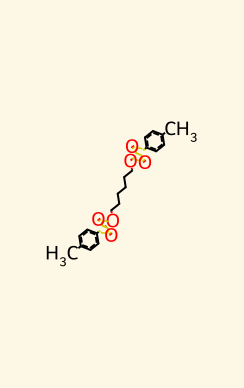 Cc1ccc(S(=O)(=O)OCCCCCCOS(=O)(=O)c2ccc(C)cc2)cc1